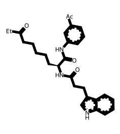 CCC(=O)CCCCC[C@H](NC(=O)CCc1c[nH]c2ccccc12)C(=O)Nc1cccc(C(C)=O)c1